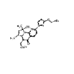 COCN1C(=O)c2ccc(-n3ccc(OCC(C)(C)C)n3)nc2N2C1C(C)=CC2(C)C